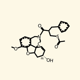 COc1ccc2c3c1OC1C[C@@H](O)C=CC31CCN(C(=O)C(CSC(C)=O)Cc1ccccc1)C2